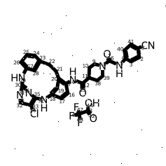 N#Cc1ccc(NC(=O)N2CCC(C(=O)Nc3ccc4cc3CCc3cccc(c3)Nc3ncc(Cl)c(n3)N4)CC2)cc1.O=C(O)C(F)(F)F